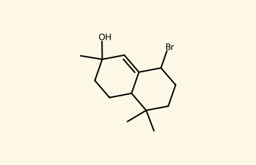 CC1(O)C=C2C(Br)CCC(C)(C)C2CC1